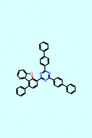 c1ccc(-c2ccc(-c3nc(-c4ccc(-c5ccccc5)cc4)nc(-c4ccc(-c5ccccc5)c5c4oc4ccccc45)n3)cc2)cc1